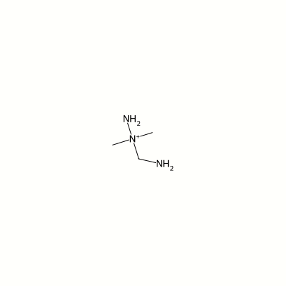 C[N+](C)(N)CN